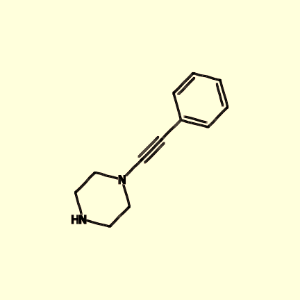 C(#CN1CCNCC1)c1ccccc1